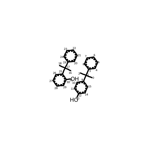 CC(C)(c1ccccc1)c1ccc(O)cc1.CC(C)(c1ccccc1)c1ccccc1O